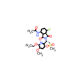 CCOc1nc([C@@H](CS(C)(=O)=O)N2C(=O)c3c(F)ccc(NC(C)=O)c3C2=O)ccc1OC